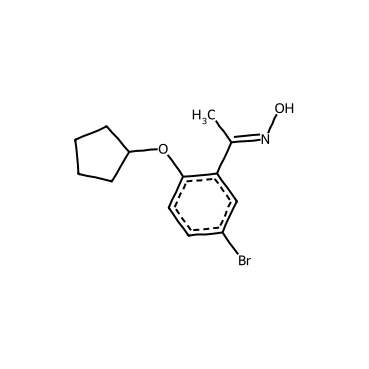 C/C(=N\O)c1cc(Br)ccc1OC1CCCC1